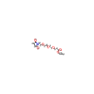 CC(C)(C)OC(=O)CCOCCOCCOCCN1C(=O)C=CC1=O